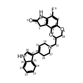 O=C1Cc2c(c(F)cc3c2OC(CN2CC=C(c4c[nH]c5ccccc45)CC2)CO3)N1